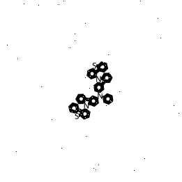 c1ccc(N(c2ccc3c(c2)c2ccccc2n3-c2cccc3sc4ccccc4c23)c2ccc3c(c2)c2ccccc2n3-c2cccc3sc4ccccc4c23)cc1